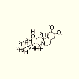 [2H]C12CC(O)C(C([2H])([2H])C([2H])(C)C([2H])([2H])[2H])C([2H])([2H])N1CCc1cc(OC)c(OC)cc12